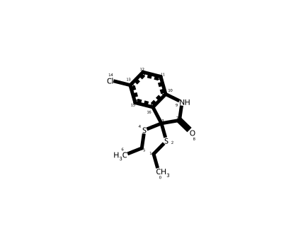 CCSC1(SCC)C(=O)Nc2ccc(Cl)cc21